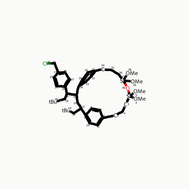 CO[Si]1(OC)CCCc2ccc(cc2)C(CC(C)(C)C)CC(C(CC(C)(C)C)c2ccc(CCl)cc2)c2ccc(cc2)CCC[Si](OC)(OC)O1